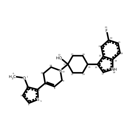 COc1ccsc1C1=CCN(C2(O)CCC(c3c[nH]c4ccc(F)cc34)CC2)CC1